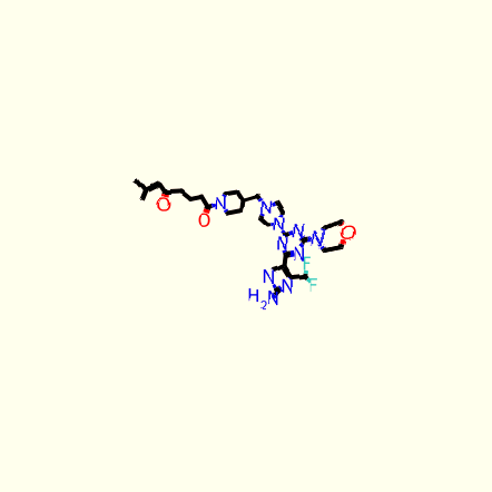 CC(C)=CC(=O)CCCC(=O)N1CCC(CN2CCN(c3nc(-c4cnc(N)nc4C(F)F)nc(N4CCOCC4)n3)CC2)CC1